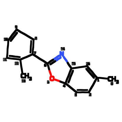 Cc1ccc2oc(-c3ccccc3C)nc2c1